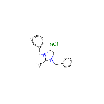 CC1N(Cc2ccccc2)CCN1Cc1ccccc1.Cl